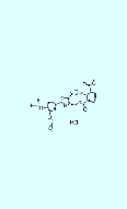 COC(=O)c1cccc(C(=O)OCc2nc(-c3ccc(OC(F)F)c(OCC4CC4)c3)oc2C(C)N)c1F.Cl